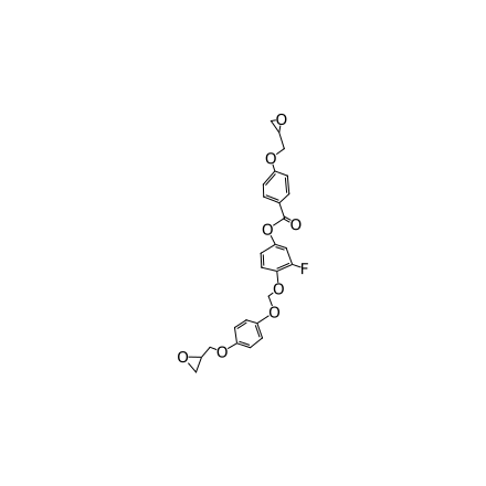 O=C(Oc1ccc(OCOc2ccc(OCC3CO3)cc2)c(F)c1)c1ccc(OCC2CO2)cc1